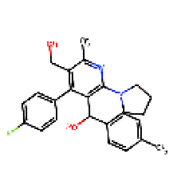 OCc1c(C(F)(F)F)nc(N2CCCC2)c(C(O)c2ccc(C(F)(F)F)cc2)c1-c1ccc(F)cc1